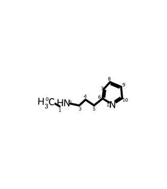 CCNCCCc1ccccn1